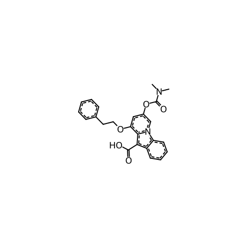 CN(C)C(=O)Oc1cc(OCCc2ccccc2)c2c(C(=O)O)c3ccccc3n2c1